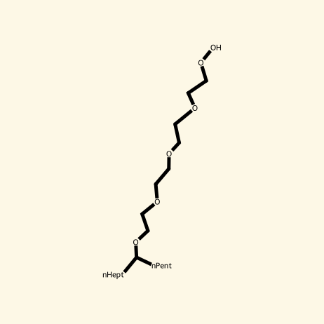 CCCCCCCC(CCCCC)OCCOCCOCCOCCOO